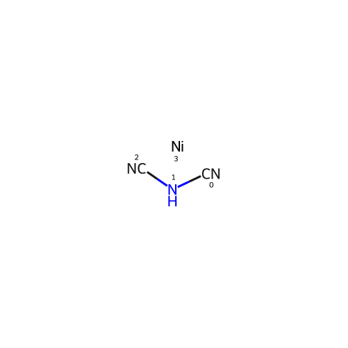 N#CNC#N.[Ni]